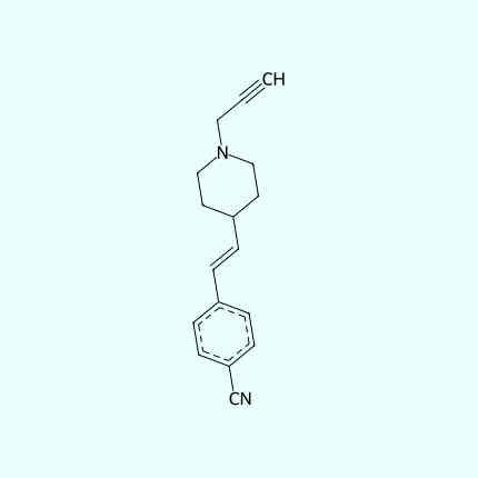 C#CCN1CCC(/C=C/c2ccc(C#N)cc2)CC1